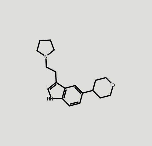 c1cc2[nH]cc(CCN3CCCC3)c2cc1C1CCOCC1